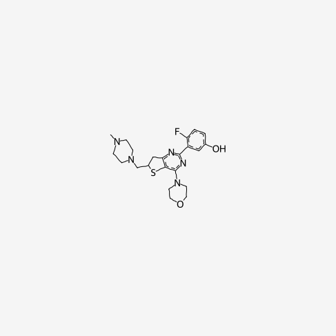 CN1CCN(CC2Cc3nc(-c4cc(O)ccc4F)nc(N4CCOCC4)c3S2)CC1